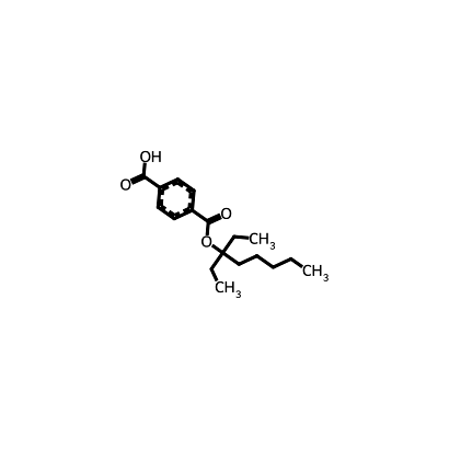 CCCCCC(CC)(CC)OC(=O)c1ccc(C(=O)O)cc1